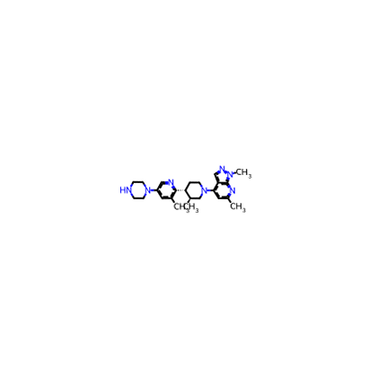 Cc1cc(N2CC[C@@H](c3ncc(N4CCNCC4)cc3C)[C@H](C)C2)c2cnn(C)c2n1